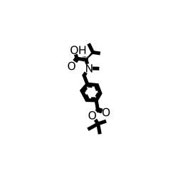 CC(C)[C@H](C(=O)O)N(C)Cc1ccc(C(=O)OC(C)(C)C)cc1